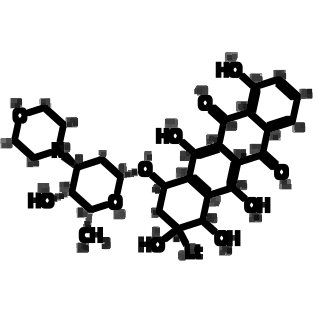 CCC1(O)CC(O[C@H]2C[C@H](N3CCOCC3)[C@@H](O)[C@@H](C)O2)c2c(O)c3c(c(O)c2C1O)C(=O)c1cccc(O)c1C3=O